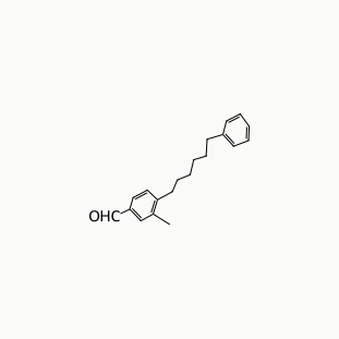 Cc1cc(C=O)ccc1CCCCCCc1ccccc1